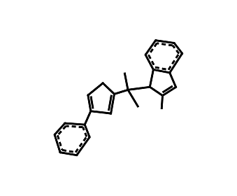 CC1=Cc2ccccc2C1C(C)(C)C1=CC(c2ccccc2)=CC1